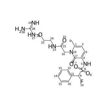 Cc1ccc(NS(=O)(=O)C(F)c2ccccc2)c(=O)n1CC(=O)NCCONC(=N)N